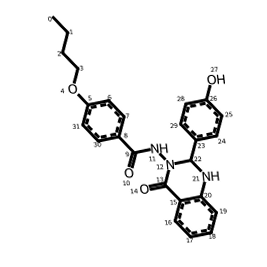 CCCCOc1ccc(C(=O)NN2C(=O)c3ccccc3NC2c2ccc(O)cc2)cc1